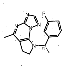 Cc1nc2ncnn2c2c1CCN2[C@@H](C)c1cccc(F)c1